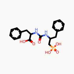 O=C(NC(Cc1ccccc1)CP(=O)(O)O)NC(Cc1ccccc1)C(=O)O